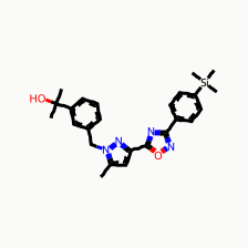 Cc1cc(-c2nc(-c3ccc([Si](C)(C)C)cc3)no2)nn1Cc1cccc(C(C)(C)O)c1